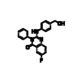 O=c1c2cc(F)ccc2nc(Nc2ccc(CO)cc2)n1-c1ccccc1